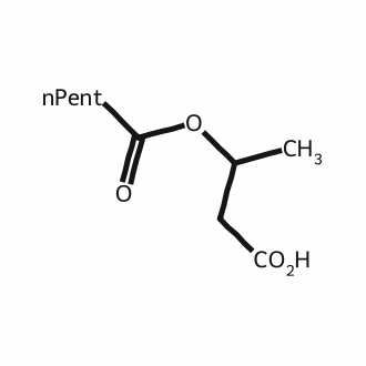 CCCCCC(=O)OC(C)CC(=O)O